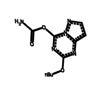 CCCCOc1nc(OC(N)=O)n2nccc2n1